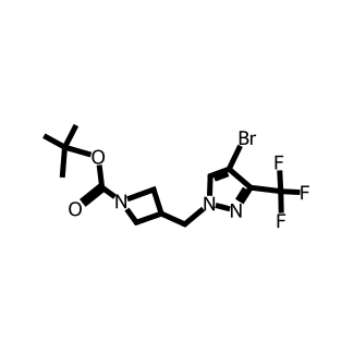 CC(C)(C)OC(=O)N1CC(Cn2cc(Br)c(C(F)(F)F)n2)C1